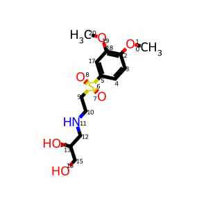 COc1ccc(S(=O)(=O)CCNCC(O)CO)cc1OC